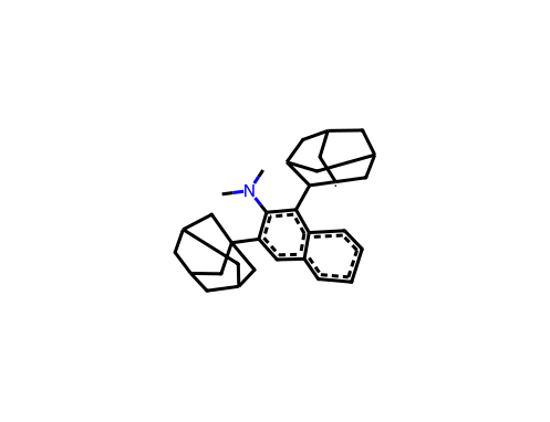 CN(C)c1c(C23CC4CC(CC(C4)C2)C3)cc2ccccc2c1C1[C]2CC3CC(C2)CC1C3